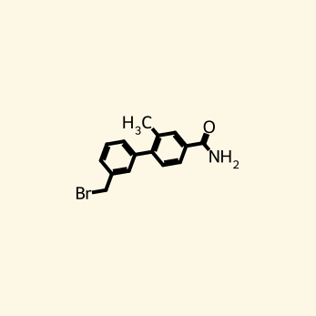 Cc1cc(C(N)=O)ccc1-c1cccc(CBr)c1